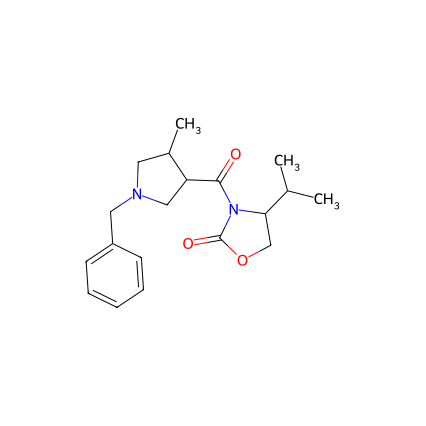 CC(C)C1COC(=O)N1C(=O)C1CN(Cc2ccccc2)CC1C